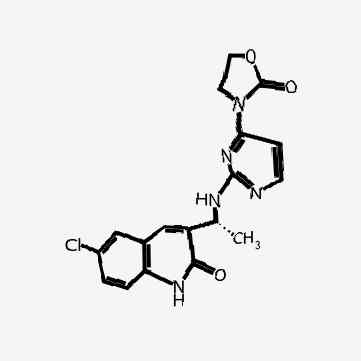 C[C@@H](Nc1nccc(N2CCOC2=O)n1)c1cc2cc(Cl)ccc2[nH]c1=O